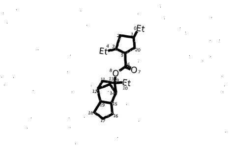 CCC1CC(CC)C(C(=O)OC2(CC)CC3CC2C2CCCC32)C1